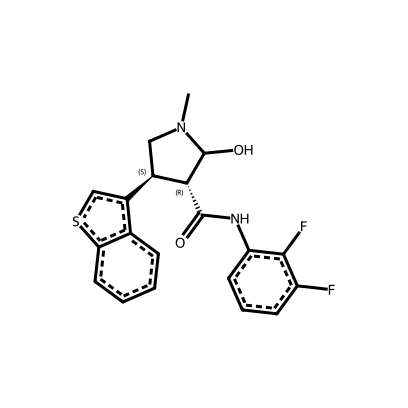 CN1C[C@H](c2csc3ccccc23)[C@@H](C(=O)Nc2cccc(F)c2F)C1O